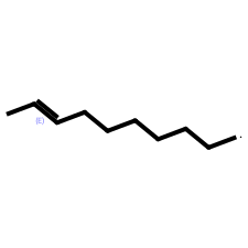 [CH2]CCCCCC/C=C/C